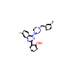 Cc1ccc2c(N3CCN(Cc4cccc(F)c4)CC3)nc(-c3ccccc3O)nc2c1